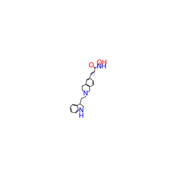 O=C(/C=C/c1ccc2c(c1)CCN(CCC1CNc3ccccc31)C2)NO